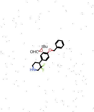 CC(C)(C)OC=O.FC1(F)CNCCC1c1ccc(OCc2ccccc2)cc1